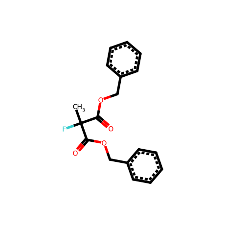 CC(F)(C(=O)OCc1ccccc1)C(=O)OCc1ccccc1